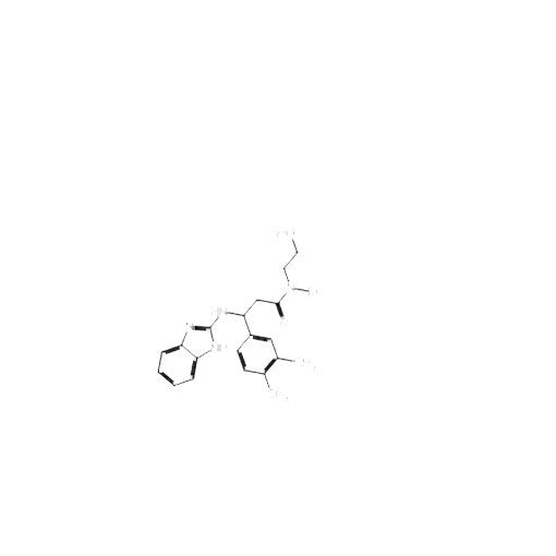 CCN(CCO)C(=O)CC(Nc1nc2ccccc2[nH]1)c1ccc(C)c(C)c1